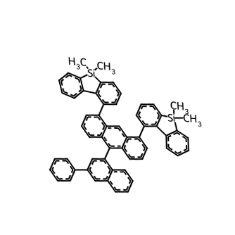 C[Si]1(C)c2ccccc2-c2c(-c3cccc4c(-c5cc(-c6ccccc6)cc6ccccc56)c5cccc(-c6cccc7c6-c6ccccc6[Si]7(C)C)c5cc34)cccc21